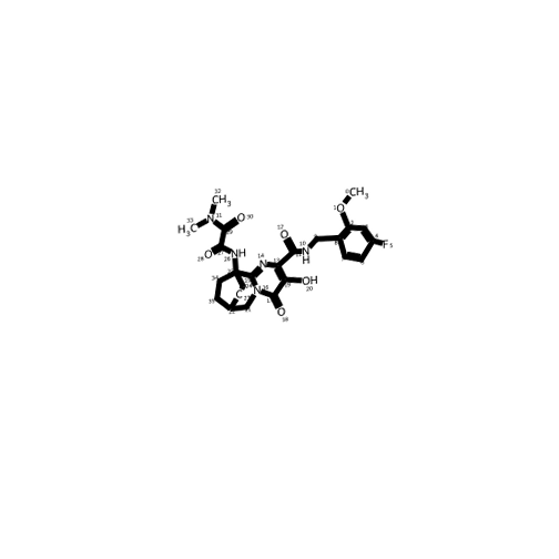 COc1cc(F)ccc1CNC(=O)c1nc2n(c(=O)c1O)CC1CCC2(NC(=O)C(=O)N(C)C)CC1